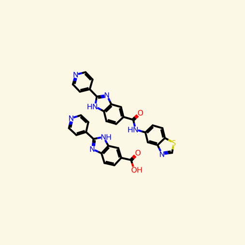 O=C(Nc1ccc2scnc2c1)c1ccc2[nH]c(-c3ccncc3)nc2c1.O=C(O)c1ccc2nc(-c3ccncc3)[nH]c2c1